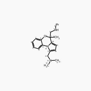 CC(C)NCC1(C)Oc2ccccc2-n2c(CN(C)C)ccc21